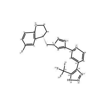 Fc1ccc2c(c1)[C@@H](Cn1cnc(-c3cc(-c4nn[nH]c4C(F)(F)F)ccn3)c1)CCO2